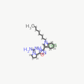 CCCCCCCCn1cc(-c2noc(C3CCCN3C(=N)N)n2)c2ccccc21.Cl